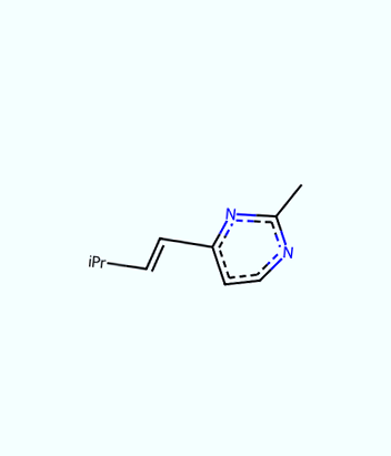 Cc1nccc(/C=C/C(C)C)n1